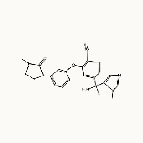 CN1CCC(c2cccc(Oc3cc(C(C)(N)c4cncn4C)ccc3C#N)c2)C1=O